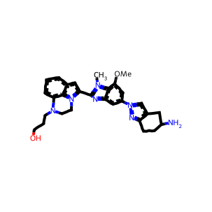 COc1cc(-n2cc3c(n2)CCC(N)C3)cc2nc(-c3cc4cccc5c4n3CCN5CCCO)n(C)c12